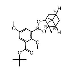 COc1cc(B2OC3C[C@@H]4C[C@@H](C4(C)C)[C@]3(C)O2)c(OC)c(C(=O)OC(C)(C)C)c1